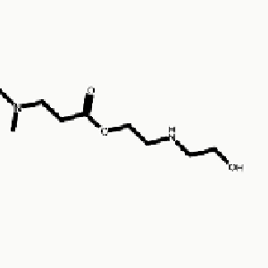 CN(C)CCC(=O)OCCNCCO